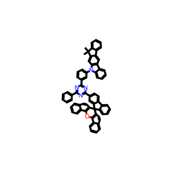 CC1(C)c2ccccc2-c2cc3c4ccccc4n(-c4cccc(-c5nc(-c6ccccc6)nc(-c6ccc7c(c6)C6(c8ccccc8-7)c7ccc8ccccc8c7Oc7c6ccc6ccccc76)n5)c4)c3cc21